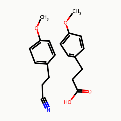 COc1ccc(CCC#N)cc1.COc1ccc(CCC(=O)O)cc1